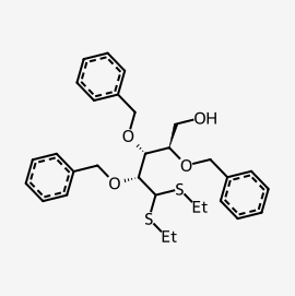 CCSC(SCC)[C@H](OCc1ccccc1)[C@H](OCc1ccccc1)[C@@H](CO)OCc1ccccc1